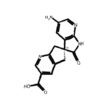 Nc1cnc2c(c1)[C@@]1(Cc3cc(C(=O)O)cnc3C1)C(=O)N2